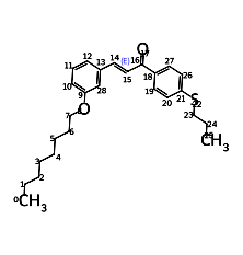 CCCCCCCCOc1cccc(/C=C/C(=O)c2ccc(SCCC)cc2)c1